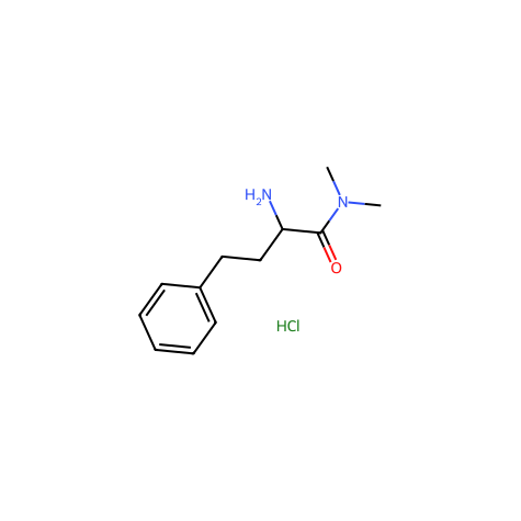 CN(C)C(=O)C(N)CCc1ccccc1.Cl